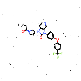 C=CC(=O)N1CC[C@@H](n2c(=O)n(-c3ccc(Oc4ccc(C(F)(F)F)cc4)cc3)c3cnccc32)C1